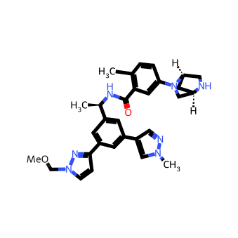 COCn1ccc(-c2cc(-c3cnn(C)c3)cc([C@@H](C)NC(=O)c3cc(N4C[C@H]5C[C@@H]4CN5)ccc3C)c2)n1